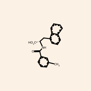 Cc1cccc(C(=O)N[C@@H](Cc2cccc3ccccc23)C(=O)O)c1